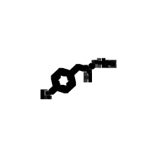 CCCCCCNCc1ccc(CC)cc1